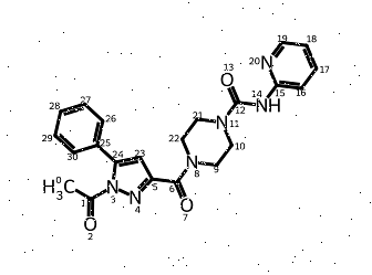 CC(=O)n1nc(C(=O)N2CCN(C(=O)Nc3ccccn3)CC2)cc1-c1ccccc1